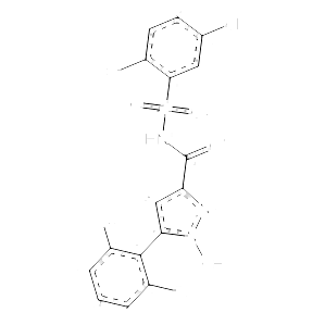 Cn1nc(C(=O)NS(=O)(=O)c2cc(Cl)ccc2Cl)cc1-c1c(F)cccc1F